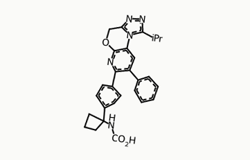 CC(C)c1nnc2n1-c1cc(-c3ccccc3)c(-c3ccc(C4(NC(=O)O)CCC4)cc3)nc1OC2